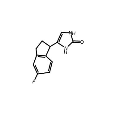 O=c1[nH]cc(C2CCc3cc(F)ccc32)[nH]1